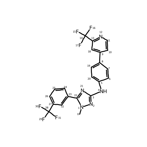 Cn1nc(Nc2ccc(-c3ccnc(C(F)(F)F)c3)cc2)nc1-c1cccc(C(F)(F)F)c1